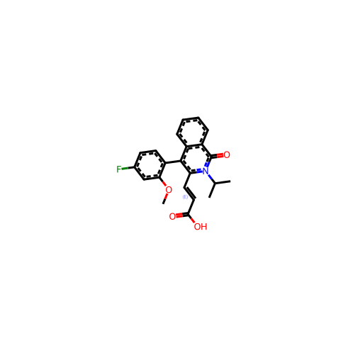 COc1cc(F)ccc1-c1c(/C=C/C(=O)O)n(C(C)C)c(=O)c2ccccc12